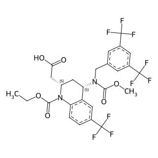 CCOC(=O)N1c2ccc(C(F)(F)F)cc2[C@@H](N(Cc2cc(C(F)(F)F)cc(C(F)(F)F)c2)C(=O)OC)C[C@H]1CC(=O)O